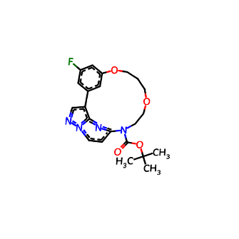 CC(C)(C)OC(=O)N1CCOCCCOc2cc(F)cc(c2)-c2cnn3ccc1nc23